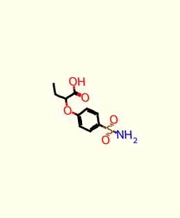 CCC(Oc1ccc(S(N)(=O)=O)cc1)C(=O)O